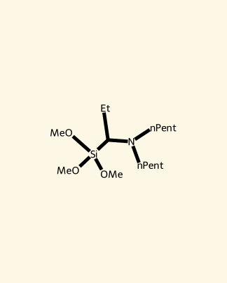 CCCCCN(CCCCC)C(CC)[Si](OC)(OC)OC